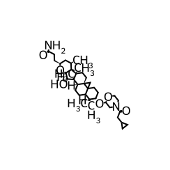 C[C@@H]1C[C@H](CCC(N)=O)O[C@H]2C1[C@@]1(C)CC[C@@]34CC35CCC(OC3CN(C(=O)CC6CC6)CCO3)C(C)(C)[C@@H]5CC[C@H]4[C@]1(C)[C@H]2O